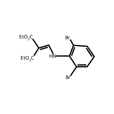 CCOC(=O)C(=CNc1c(Br)cccc1Br)C(=O)OCC